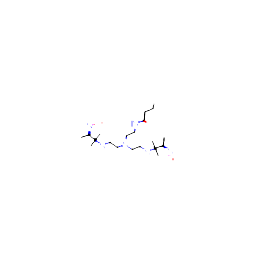 C/C(=N/O)C(C)(C)NCCN(CCNC(=O)CCC(=O)O)CCNC(C)(C)/C(C)=N\O